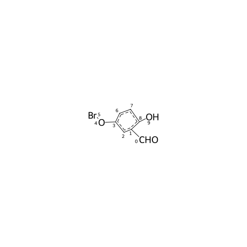 O=Cc1cc(OBr)ccc1O